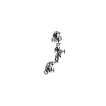 Cc1cc(-c2ccnc(Nc3ccc(N4CCN(CC5CCN(c6cccc(N7CCC(=O)NC7=O)c6)CC5)CC4)nc3)n2)ccc1CNC(=O)c1cnn(C(C)C)c1